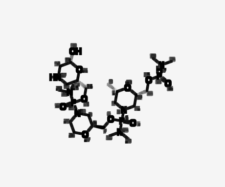 C[C@H]1CN(P(=O)(OC[C@@H]2CN(P(=O)(OC[C@@H]3CNC[C@H](O)O3)N(C)C)CCO2)N(C)C)C[C@@H](CO[PH](=O)N(C)C)O1